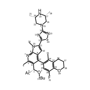 CC(=O)[C@@H](OC(C)(C)C)c1c(C)nc2c(cc(-c3nc(N4C[C@@H](C)N[C@@H](C)C4)ns3)n2C)c1-c1cc(F)c2c(c1C)CCCO2